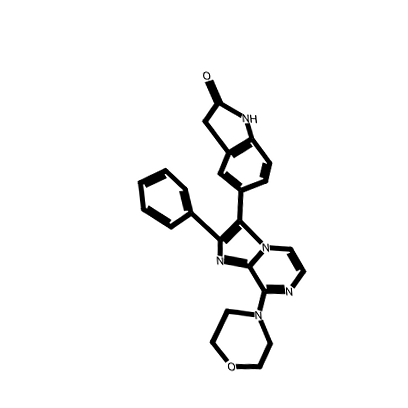 O=C1Cc2cc(-c3c(-c4ccccc4)nc4c(N5CCOCC5)nccn34)ccc2N1